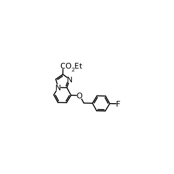 CCOC(=O)c1cn2cccc(OCc3ccc(F)cc3)c2n1